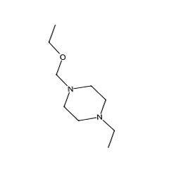 CCOCN1CCN(CC)CC1